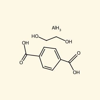 O=C(O)c1ccc(C(=O)O)cc1.OCCO.[AlH3]